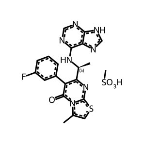 CS(=O)(=O)O.Cc1csc2nc([C@H](C)Nc3ncnc4[nH]cnc34)c(-c3cccc(F)c3)c(=O)n12